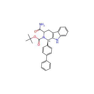 CC(C)(C)OC(=O)N1C(C(N)=O)Cc2c([nH]c3ccccc23)[C@H]1c1ccc(-c2ccccc2)cc1